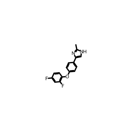 Cc1nc(-c2ccc(Oc3ccc(F)cc3F)cc2)c[nH]1